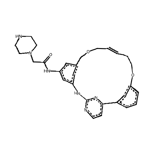 O=C(CN1CCNCC1)Nc1cc2cc(c1)Nc1nccc(n1)-c1cccc(c1)OCC/C=C/COC2